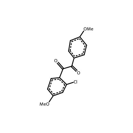 COc1ccc(C(=O)C(=O)c2ccc(OC)cc2Cl)cc1